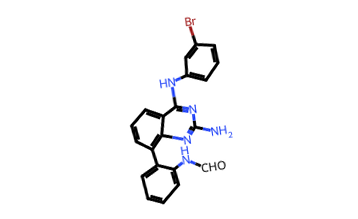 Nc1nc(Nc2cccc(Br)c2)c2cccc(-c3ccccc3NC=O)c2n1